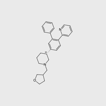 c1ccc(-c2cc([C@H]3CCCN(CC4CCOC4)C3)ccc2-c2ccccn2)cc1